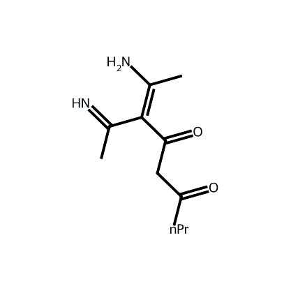 CCCC(=O)CC(=O)/C(C(C)=N)=C(\C)N